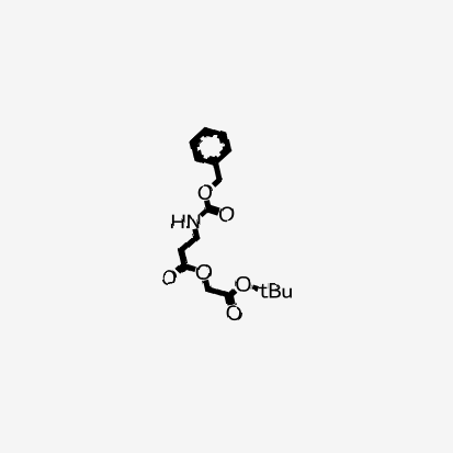 CC(C)(C)OC(=O)COC(=O)CCNC(=O)OCc1ccccc1